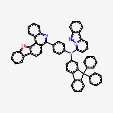 c1ccc(C2(c3ccccc3)c3ccccc3-c3ccc(N(c4ccc(-c5nc6ccccc6c6c5ccc5c7ccccc7oc56)cc4)c4cccc5c6ccccc6nn45)cc32)cc1